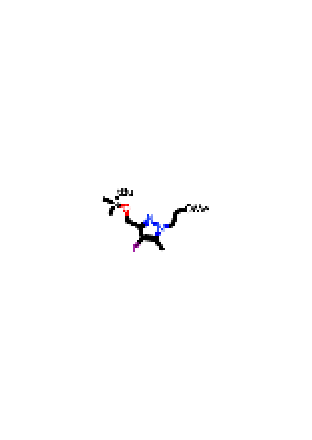 COCCn1nc(CO[Si](C)(C)C(C)(C)C)c(I)c1C